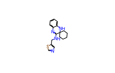 c1ccc2c(c1)N=C(NCc1cncs1)C1(CCCCC1)N2